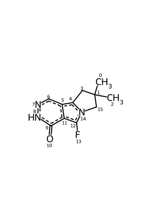 CC1(C)Cc2c3cn[nH]c(=O)c3c(F)n2C1